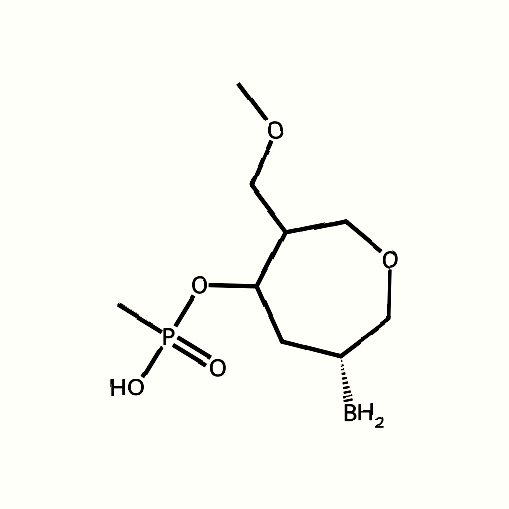 B[C@H]1COCC(COC)C(OP(C)(=O)O)C1